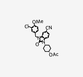 COc1ccc(Cn2c(=O)n([C@H]3CC[C@@H](OC(C)=O)CC3)c3ccc(C#N)cc32)cc1Cl